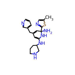 Cc1cnc(C2(N)C=C(Cc3cccnc3)C=C(NC3CCCNC3)N2)s1